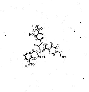 NS(=O)(=O)c1ccc([C@H](NC(=O)N2CCN(CCBr)C(=O)C2=O)C(=O)N[C@H]2Cc3cccc(C(=O)O)c3OB2O)cc1O